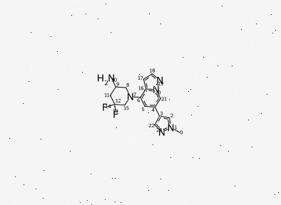 Cn1cc(-c2cc(N3CC(N)CC(F)(F)C3)c3ccnn3c2)cn1